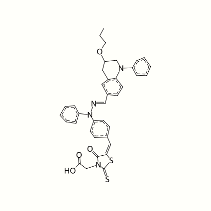 CCCOC1Cc2cc(C=NN(c3ccccc3)c3ccc(C=C4SC(=S)N(CC(=O)O)C4=O)cc3)ccc2N(c2ccccc2)C1